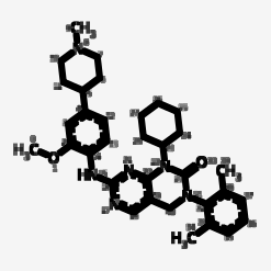 COc1cc(C2CCN(C)CC2)ccc1Nc1ncc2c(n1)N(C1CCCCC1)C(=O)N(c1c(C)cccc1C)C2